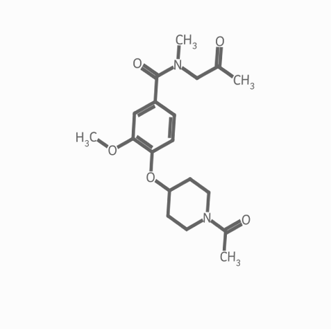 COc1cc(C(=O)N(C)CC(C)=O)ccc1OC1CCN(C(C)=O)CC1